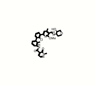 COc1nc(-c2cccc(-c3cccc(NC(=O)c4ccnn(C)c4=O)c3C)c2Cl)cc(C)c1CN[C@@H]1CCOC[C@@H]1O